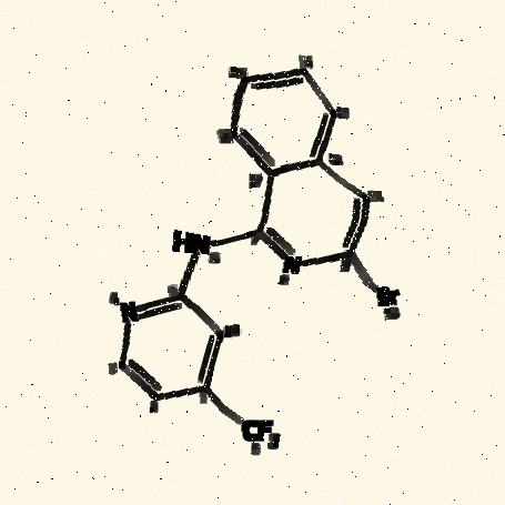 FC(F)(F)c1ccnc(Nc2nc(Br)cc3ccccc23)c1